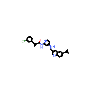 O=C(Nc1cc(NCc2cnc3ccc(C4CC4)cc3c2)ccn1)C1CC1c1cccc(Cl)c1